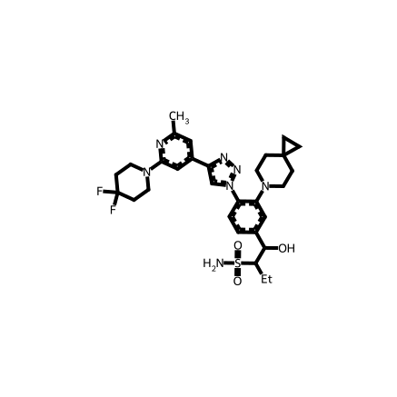 CCC(C(O)c1ccc(-n2cc(-c3cc(C)nc(N4CCC(F)(F)CC4)c3)nn2)c(N2CCC3(CC2)CC3)c1)S(N)(=O)=O